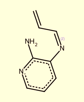 C=C/C=N\c1cccnc1N